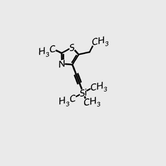 CCc1sc(C)nc1C#C[Si](C)(C)C